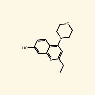 CCc1cc(N2CCOCC2)c2ccc(O)cc2n1